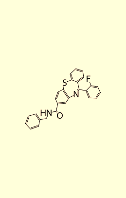 O=C(NCc1ccccc1)c1ccc2c(c1)N=C(c1ccccc1F)c1ccccc1S2